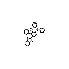 c1ccc(N(c2ccccc2)c2ccc(-c3nc4ccccc4s3)c3c2oc2ccccc23)cc1